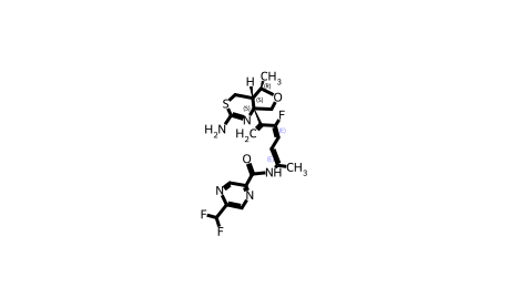 C=C(/C(F)=C\C=C(/C)NC(=O)c1cnc(C(F)F)cn1)[C@]12CO[C@H](C)[C@H]1CSC(N)=N2